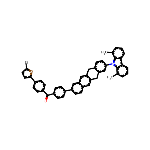 CCc1ccc(-c2ccc(C(=O)c3ccc(-c4ccc5cc6c(cc5c4)Cc4ccc(-n5c7c(C)cccc7c7cccc(C)c75)cc4C6)cc3)cc2)s1